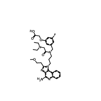 CCN(CC)CC(=O)N(CCCn1c(CCOC)nc2c(N)nc3ccccc3c21)Cc1cc(F)cc(OCC(=O)O)c1